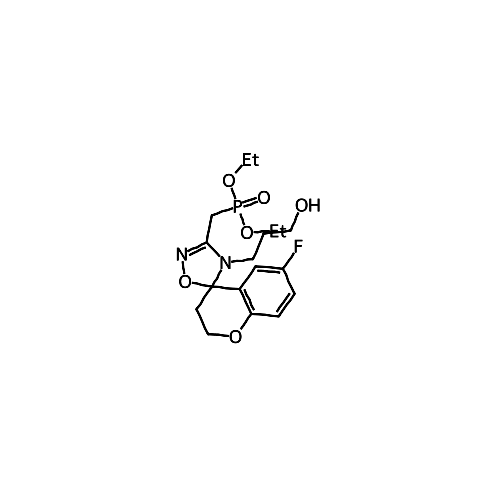 CCOP(=O)(CC1=NOC2(CCOc3ccc(F)cc32)N1CCCO)OCC